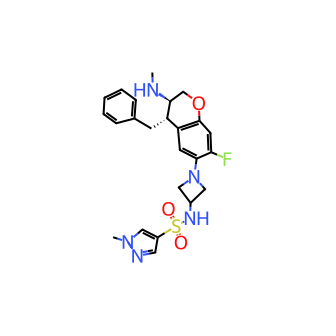 CN[C@H]1COc2cc(F)c(N3CC(NS(=O)(=O)c4cnn(C)c4)C3)cc2[C@@H]1Cc1ccccc1